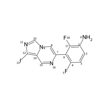 Nc1ccc(F)c(-c2cn3cnc(I)c3cn2)c1F